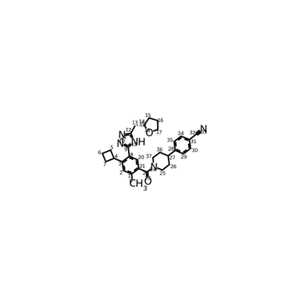 Cc1cc(C2CCC2)c(-c2nnc(C[C@@H]3CCCO3)[nH]2)cc1C(=O)N1CCC(c2ccc(C#N)cc2)CC1